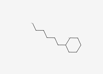 [CH2]CCCCCC1[CH]CCCC1